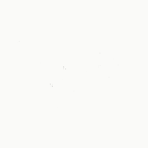 C=C1CCc2cc(B3CC(C)(C)C(C)(C)C3)cnc2N1C1CC(CC)C1